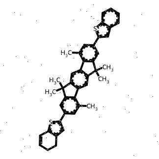 Cc1cc(-c2cc3c(s2)C=CCC3)cc2c1-c1cc3c(cc1C2(C)C)-c1c(C)cc(-c2cc4ccccc4s2)cc1C3(C)C